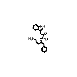 CCN(OC(/C=C\CN)=C/c1ccccc1)C(=O)Cc1c[nH]c2ccccc12